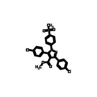 COC(=O)c1c(-c2ccc(Cl)cc2)nn(-c2ccc(S(C)(=O)=O)cc2)c1-c1ccc(Cl)cc1